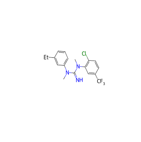 CCc1cccc(N(C)C(=N)N(C)c2cc(C(F)(F)F)ccc2Cl)c1